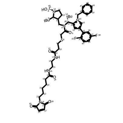 CC(C)(C)C1C(CN(C(=O)CSCCC(=O)NCCNC(=O)CCCCCN2C(=O)C=CC2=O)[C@@H](c2cc(-c3cc(F)ccc3F)cn2Cc2ccccc2)C(C)(C)C)CCN1C(=O)O